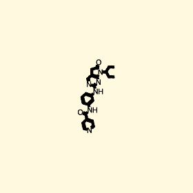 CCC(CC)N1C(=O)Cc2cnc(Nc3cccc(NC(=O)c4ccncc4)c3)nc21